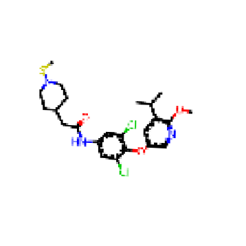 COc1ncc(Oc2c(Cl)cc(NC(=O)CC3CCN(SC)CC3)cc2Cl)cc1C(C)C